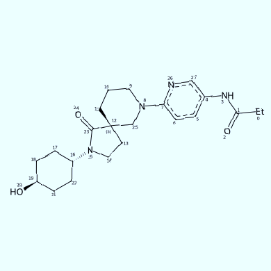 CCC(=O)Nc1ccc(N2CCC[C@]3(CCN([C@H]4CC[C@H](O)CC4)C3=O)C2)nc1